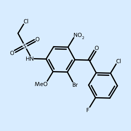 COc1c(NS(=O)(=O)CCl)cc([N+](=O)[O-])c(C(=O)c2cc(F)ccc2Cl)c1Br